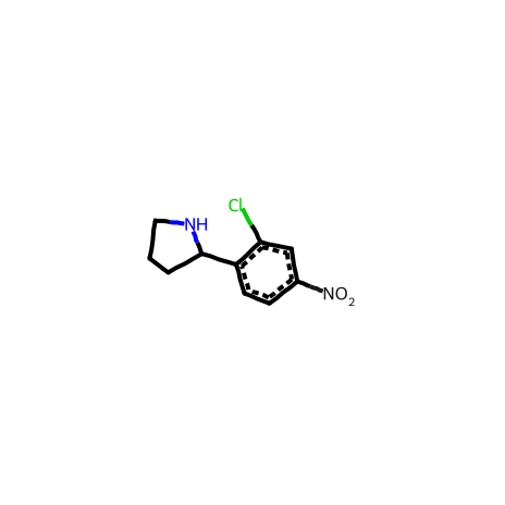 O=[N+]([O-])c1ccc(C2CCCN2)c(Cl)c1